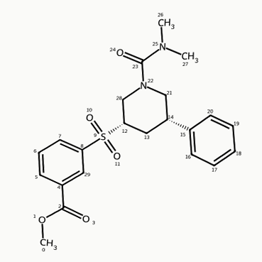 COC(=O)c1cccc(S(=O)(=O)[C@H]2C[C@@H](c3ccccc3)CN(C(=O)N(C)C)C2)c1